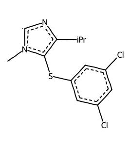 CC(C)c1n[c]n(C)c1Sc1cc(Cl)cc(Cl)c1